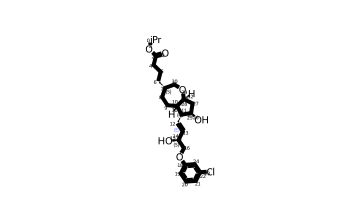 CC(C)OC(=O)CCC[C@H]1CC[C@@H]2[C@@H](/C=C/[C@H](O)COc3cccc(Cl)c3)[C@H](O)C[C@@H]2OC1